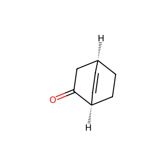 O=C1C[C@@H]2C=C[C@H]1CC2